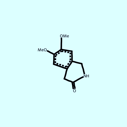 COc1cc2c(cc1OC)CC(=O)NC2